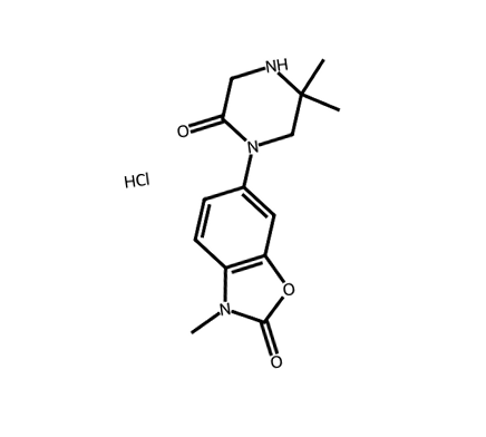 Cl.Cn1c(=O)oc2cc(N3CC(C)(C)NCC3=O)ccc21